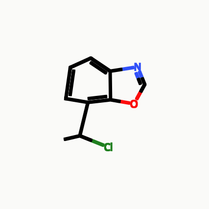 CC(Cl)c1cccc2ncoc12